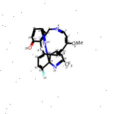 COC1=CC=NCC2=C3CC4=CC=C(F)C5(N=C(C(F)(F)F)C=CC45C=C1)/N=C\2C=CC3=O